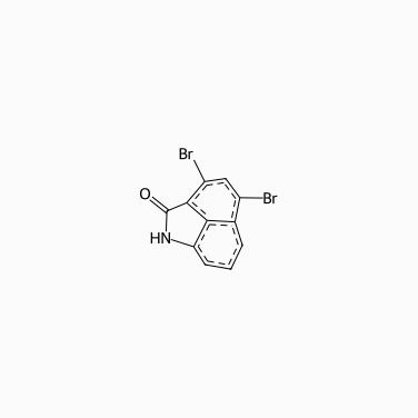 O=C1Nc2cccc3c(Br)cc(Br)c1c23